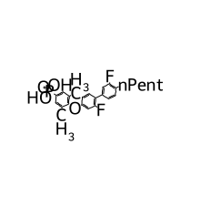 CCCCCc1ccc(-c2ccc(Oc3c(C)cc(P(=O)(O)O)cc3C)cc2F)cc1F